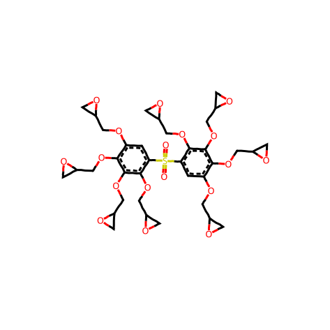 O=S(=O)(c1cc(OCC2CO2)c(OCC2CO2)c(OCC2CO2)c1OCC1CO1)c1cc(OCC2CO2)c(OCC2CO2)c(OCC2CO2)c1OCC1CO1